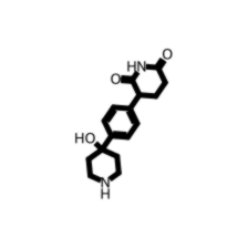 O=C1CCC(c2ccc(C3(O)CCNCC3)cc2)C(=O)N1